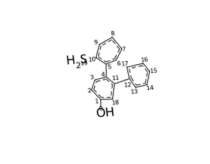 Oc1ccc(-c2ccccc2)c(-c2ccccc2)c1.S